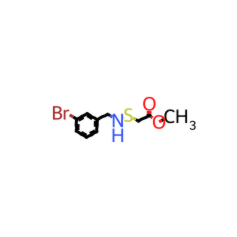 COC(=O)CSNCc1cccc(Br)c1